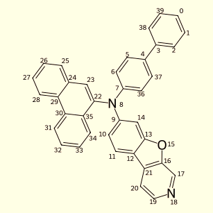 c1ccc(-c2ccc(N(c3ccc4c(c3)oc3cnccc34)c3cc4ccccc4c4ccccc34)cc2)cc1